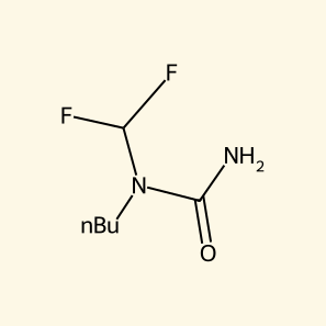 CCCCN(C(N)=O)C(F)F